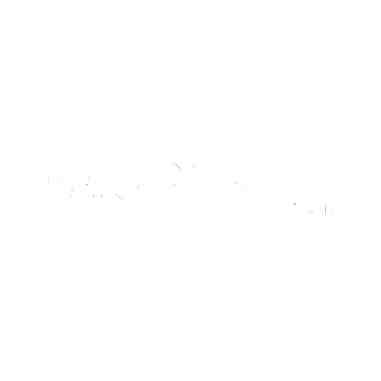 C=CC(=O)OCCC#CCCOc1ccc(-c2ccc(OC(=O)C(=C)C)cc2)cc1